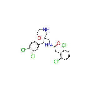 O=C(Cc1c(Cl)cccc1Cl)NCC1(Cc2ccc(Cl)c(Cl)c2)CNCCO1